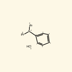 CC(C)N(c1ccccc1)C(C)C.Cl